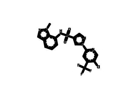 Cn1ncc2cccc(NS(=O)(=O)c3cnn(-c4cc(C(F)(F)F)c(Cl)cn4)c3)c21